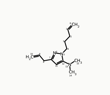 C=CCCCn1nc(CC=C)cc1N(C)C